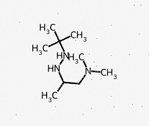 CC(CN(C)C)NNC(C)(C)C